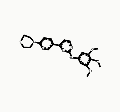 COc1cc(Nc2nccc(-c3ccc(N4CCSCC4)nc3)n2)cc(OC)c1OC